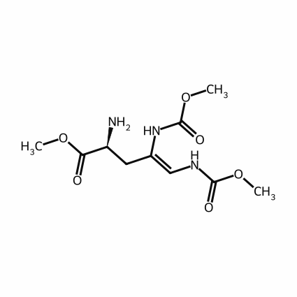 COC(=O)N/C=C(/C[C@H](N)C(=O)OC)NC(=O)OC